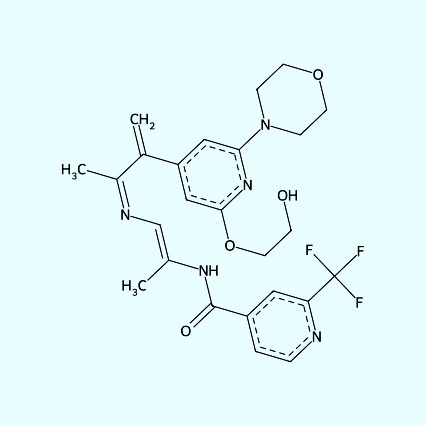 C=C(/C(C)=N\C=C(/C)NC(=O)c1ccnc(C(F)(F)F)c1)c1cc(OCCO)nc(N2CCOCC2)c1